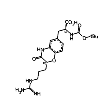 CC(C)(C)OC(=O)N[C@@H](Cc1ccc2c(c1)NC(=O)[C@@H](CCCNC(=N)N)O2)C(=O)O